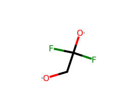 [O]CC([O])(F)F